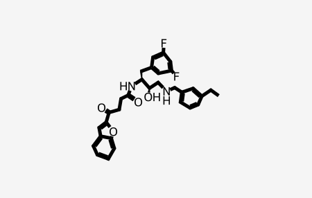 CCc1cccc(CNC[C@@H](O)[C@H](Cc2cc(F)cc(F)c2)NC(=O)CCC(=O)c2cc3ccccc3o2)c1